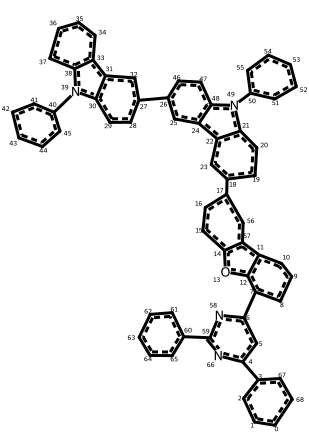 c1ccc(-c2cc(-c3cccc4c3oc3ccc(-c5ccc6c(c5)c5cc(-c7ccc8c(c7)c7ccccc7n8-c7ccccc7)ccc5n6-c5ccccc5)cc34)nc(-c3ccccc3)n2)cc1